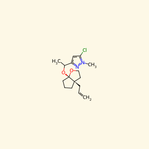 C=CC[C@@]12CCC[C@]1(OC(C)c1cc(Cl)n(C)n1)OCC2